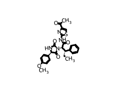 CC[C@@H](c1ccccc1)[C@@H](C(=O)Nc1nc(C(C)=O)cs1)N1C(=O)N[C@H](c2ccc(OC)cc2)C1=O